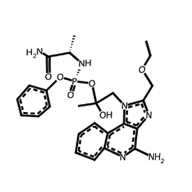 CCOCc1nc2c(N)nc3ccccc3c2n1CC(C)(O)O[P@](=O)(N[C@@H](C)C(N)=O)Oc1ccccc1